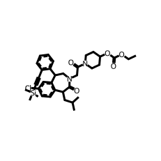 CCOC(=O)OC1CCN(C(=O)CN2CC(c3ccccc3C#C[Si](C)(C)C)c3cc(Cl)ccc3C(CC(C)C)C2=O)CC1